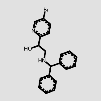 OC(CNC(c1ccccc1)c1ccccc1)c1ccc(Br)cn1